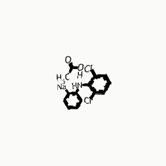 CC(=O)O.[Na][c]1ccccc1Nc1c(Cl)cccc1Cl